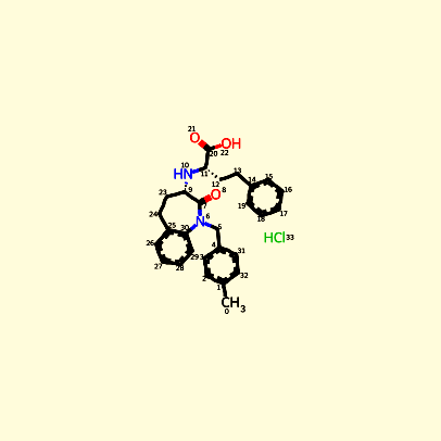 Cc1ccc(CN2C(=O)[C@@H](N[C@@H](CCc3ccccc3)C(=O)O)CCc3ccccc32)cc1.Cl